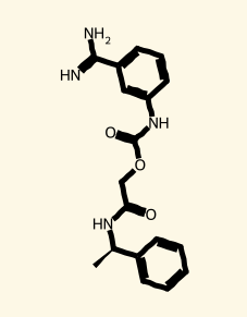 C[C@@H](NC(=O)COC(=O)Nc1cccc(C(=N)N)c1)c1ccccc1